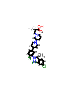 CC(CN1CCCC(N2CCC(c3ccc(Cl)c(NC(C)c4ccc(Cl)cc4Cl)c3)CC2)C1)C(=O)O